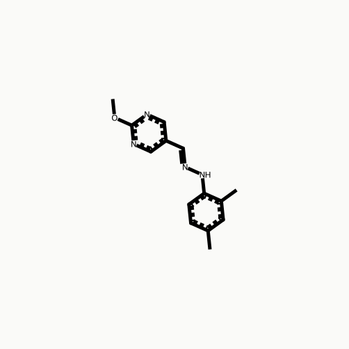 COc1ncc(/C=N/Nc2ccc(C)cc2C)cn1